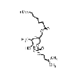 CCCCCCCCCCCCCCCC(=O)OCC(COP(=O)(O)OCCN(C)C)OC(C)CO